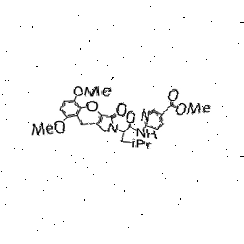 COC(=O)c1ccc(NC(=O)C(CC(C)C)N2CC3=C(Oc4c(OC)ccc(OC)c4C3)C2=O)nc1